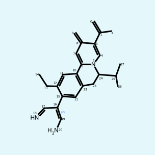 C=C(C)C1=CN2C(=CC1=C)c1cc(CC)c(/C(C=N)=C/N)cc1CC2C(C)C